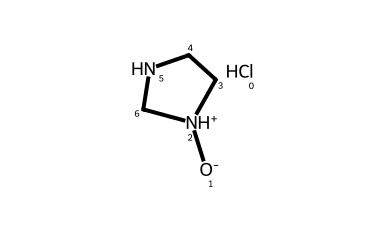 Cl.[O-][NH+]1CCNC1